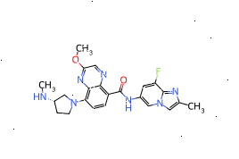 CN[C@H]1CCN(c2ccc(C(=O)Nc3cc(F)c4nc(C)cn4c3)c3ncc(OC)nc23)C1